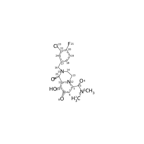 CN(C)C(=O)c1cc(=O)c(O)c2n1CCN(Cc1ccc(F)c(Cl)c1)C2=O